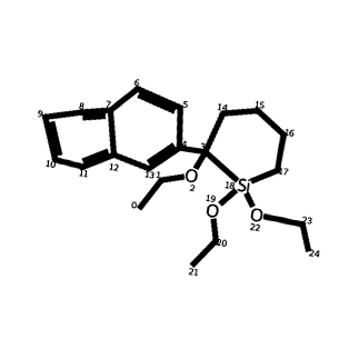 CCOC1(c2ccc3ccccc3c2)CCCC[Si]1(OCC)OCC